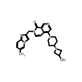 Cc1ccc2nc(Cn3ccc4c(N5CCC(N6CC(O)C6)CC5)cncc4c3=O)cn2c1